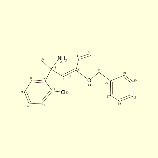 C=C/C(=C\C(C)(N)c1ccccc1Cl)OCc1ccccc1